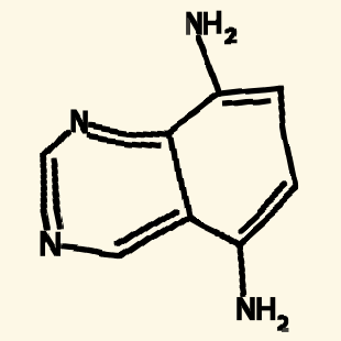 Nc1ccc(N)c2ncncc12